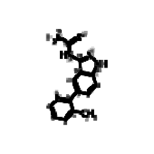 Cc1cccnc1-c1ccc2[nH]nc(NC(N)=S)c2c1